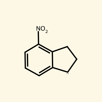 O=[N+]([O-])c1cccc2c1CC[C]2